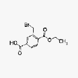 CCOC(=O)c1ccc(C(=O)O)cc1CBr